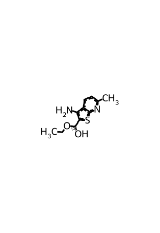 CCO[C@H](O)c1sc2nc(C)ccc2c1N